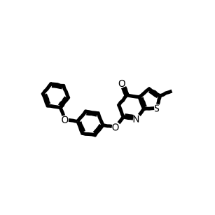 Cc1cc2c(s1)N=C(Oc1ccc(Oc3ccccc3)cc1)CC2=O